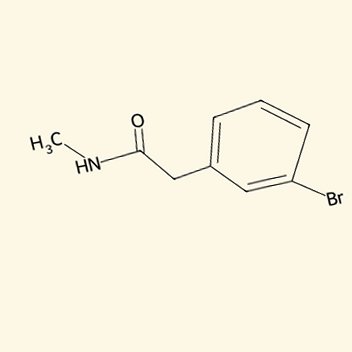 CNC(=O)Cc1cccc(Br)c1